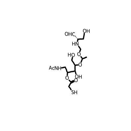 CC(=O)NCC(OC(=O)CS)C(O)C(CO)OC(C)OCN[C@H](C=O)CO